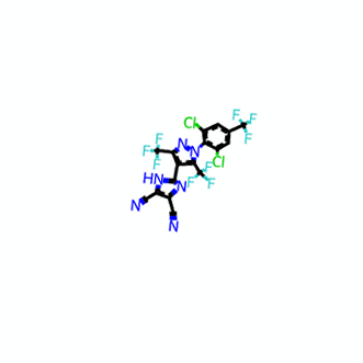 N#Cc1nc(-c2c(C(F)(F)F)nn(-c3c(Cl)cc(C(F)(F)F)cc3Cl)c2C(F)(F)F)[nH]c1C#N